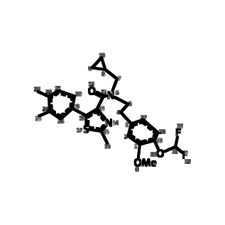 COc1cc(CCN(CC2CC2)C(=O)c2nc(C)sc2-c2ccc(C)c(C)c2)ccc1OC(F)F